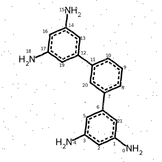 Nc1cc(N)cc(-c2cccc(-c3cc(N)cc(N)c3)c2)c1